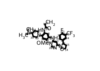 C=CC(=O)Nc1cc(Nc2cc(N3OCCC3c3ccc(F)c(C(F)(F)F)c3)ncn2)c(OC)cc1N1CCC(N(C)C)CC1